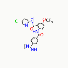 N=C(c1ccc(C(=O)Nc2ccc(OC(F)(F)F)cc2C(=O)Nc2ccc(Cl)cn2)cc1)N1CC1